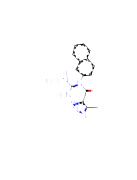 Cc1[nH]nnc1C(=O)[N+](=C(N)N)c1ccc2ccccc2c1.Cl